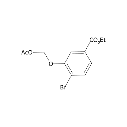 CCOC(=O)c1ccc(Br)c(OCOC(C)=O)c1